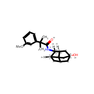 COc1cccc(C(C)(C)C(=O)N[C@@H]2[C@@H]3CC4C[C@H]2C[C@](O)(C4)C3)c1